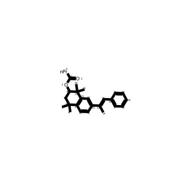 CCCC(=O)OC1CC(C)(C)c2ccc(C(C)=Cc3ccccc3)cc2C1(C)C